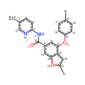 CCc1ccc(NC(=O)c2cc(Oc3ccc(C)cc3)c3cc(C)oc3c2)nc1